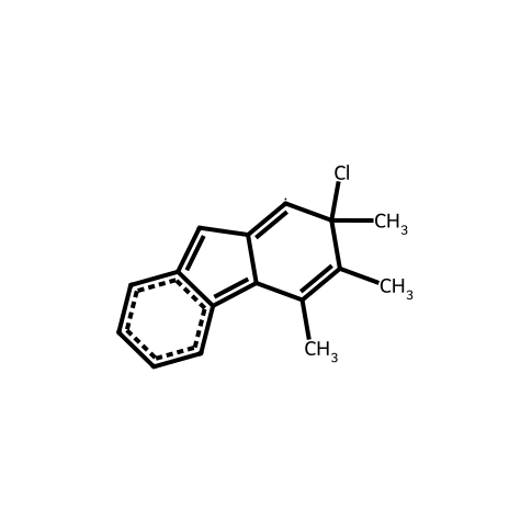 CC1=C(C)C(C)(Cl)[C]=C2C=c3ccccc3=C21